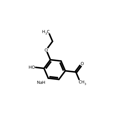 CCOc1cc(C(C)=O)ccc1O.[NaH]